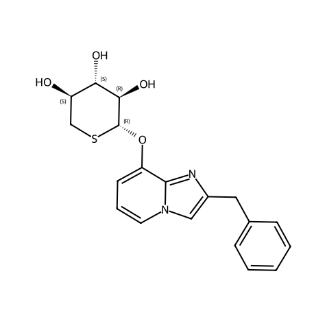 O[C@@H]1[C@@H](O)[C@H](Oc2cccn3cc(Cc4ccccc4)nc23)SC[C@H]1O